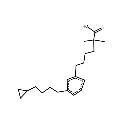 CC(C)(CCCCc1cccc(CCCCC2CC2)c1)C(=O)O